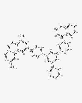 Cc1ccc2ccc3c(C)cc(-c4ccc(-c5nc(-c6ccccc6)cc(-c6cccc(-c7cccc8cccnc78)c6)n5)cc4)nc3c2n1